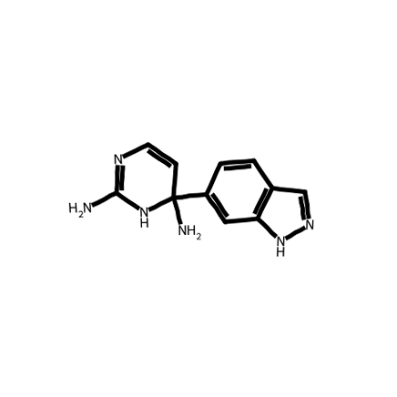 NC1=NC=CC(N)(c2ccc3cn[nH]c3c2)N1